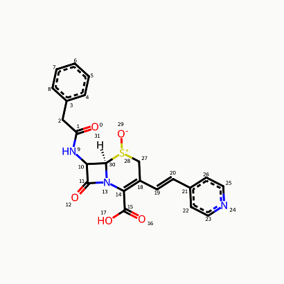 O=C(Cc1ccccc1)NC1C(=O)N2C(C(=O)O)=C(/C=C/c3ccncc3)C[S+]([O-])[C@H]12